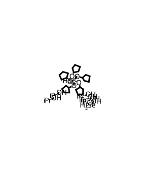 C1CCC(O[SeH](OC2CCCC2)(OC2CCCC2)(OC2CCCC2)OC2CCCC2)C1.CC(C)O.CC(C)O.CC(C)O.CC(C)O.CC(C)O.CC(C)O.[SeH2]